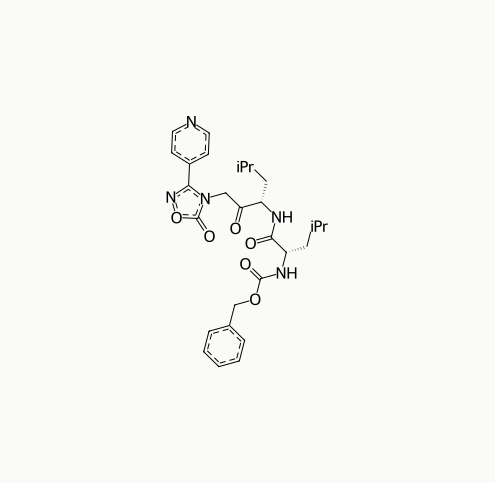 CC(C)C[C@H](NC(=O)[C@H](CC(C)C)NC(=O)OCc1ccccc1)C(=O)Cn1c(-c2ccncc2)noc1=O